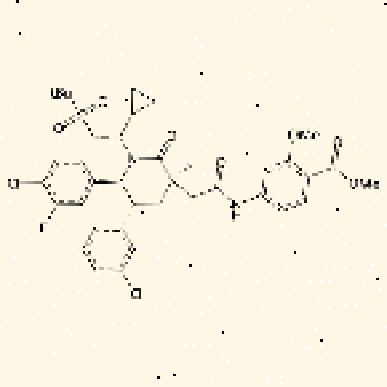 COC(=O)c1ccc(NC(=O)C[C@@]2(C)C[C@H](c3cccc(Cl)c3)[C@@H](c3ccc(Cl)c(F)c3)N([C@H](CS(=O)(=O)C(C)(C)C)C3CC3)C2=O)cc1OC